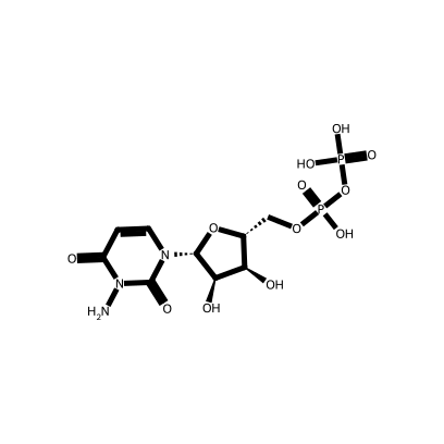 Nn1c(=O)ccn([C@@H]2O[C@H](COP(=O)(O)OP(=O)(O)O)[C@@H](O)[C@H]2O)c1=O